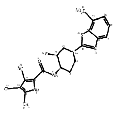 Cc1[nH]c(C(=O)N[C@@H]2CCN(c3nc4cccc(C(=O)O)c4s3)C[C@@H]2F)c(C#N)c1Cl